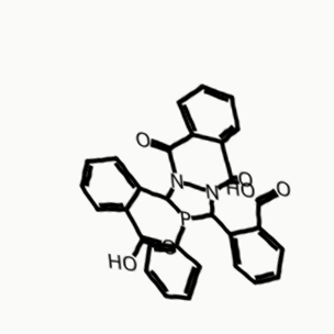 O=C(O)c1ccccc1C1n2c(=O)c3ccccc3c(=O)n2C(c2ccccc2C(=O)O)P1c1ccccc1